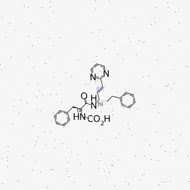 O=C(O)N[C@@H](Cc1ccccc1)C(=O)N[C@H](/C=C/c1ncccn1)CCc1ccccc1